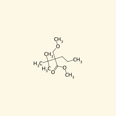 CCCC(COC)(C(=O)OC)C(C)(C)C